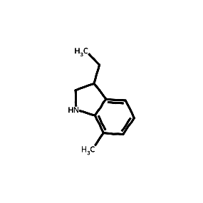 CCC1CNc2c(C)cccc21